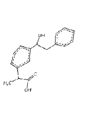 CC(C(=O)O)c1cccc(C(O)Cc2ccccc2)c1